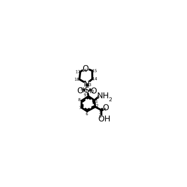 Nc1c(C(=O)O)cccc1S(=O)(=O)N1CCOCC1